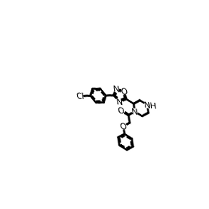 O=C(COc1ccccc1)N1CCNCC1c1nc(-c2ccc(Cl)cc2)no1